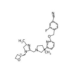 CC1CN(C[C@@H]2CCO2)C(CN2CC[C@](C)(c3cccc(OCc4ccc(C#N)cc4F)n3)C2)=N1